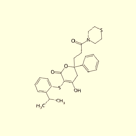 CC(C)c1ccccc1SC1=C(O)CC(CCC(=O)N2CCSCC2)(c2ccccc2)OC1=O